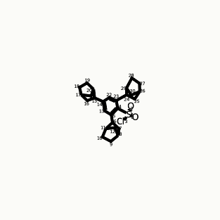 O=S(=O)(Cl)c1c(C2CC3CCC2C3)cc(C2CC3CCC2C3)cc1C1CC2CCC1C2